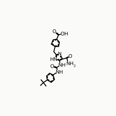 CC(C)(C)c1ccc(NC(=O)Nc2[nH]c(Cc3ccc(C(=O)O)cc3)nc2C(N)=O)cc1